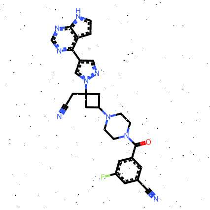 N#CCC1(n2cc(-c3ncnc4[nH]ccc34)cn2)CC(N2CCN(C(=O)c3cc(F)cc(C#N)c3)CC2)C1